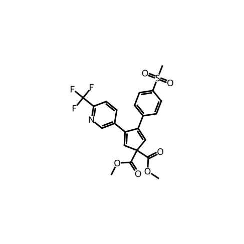 COC(=O)C1(C(=O)OC)C=C(c2ccc(S(C)(=O)=O)cc2)C(c2ccc(C(F)(F)F)nc2)=C1